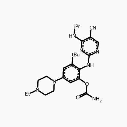 CCN1CCN(c2cc(OC(N)=O)c(Nc3ncc(C#N)c(NC(C)C)n3)c(C(C)(C)C)c2)CC1